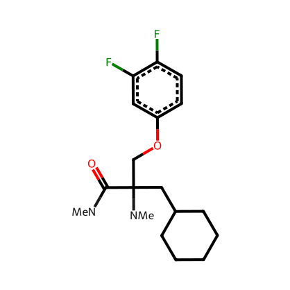 CNC(=O)C(COc1ccc(F)c(F)c1)(CC1CCCCC1)NC